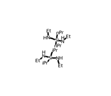 CCC[Si](CCC)(NCC)NCC.CCN[Si](NCC)(C(C)C)C(C)C